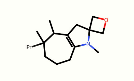 CC(C)C1(C)CCCC2=C(CC3(COC3)N2C)C1C